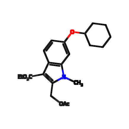 CCOC(=O)c1c(COC(C)=O)n(C)c2cc(OC3CCCCC3)ccc12